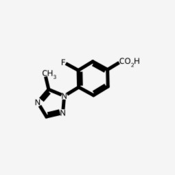 Cc1ncnn1-c1ccc(C(=O)O)cc1F